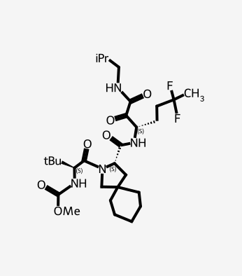 COC(=O)N[C@H](C(=O)N1CC2(CCCCC2)C[C@H]1C(=O)N[C@@H](CCC(C)(F)F)C(=O)C(=O)NCC(C)C)C(C)(C)C